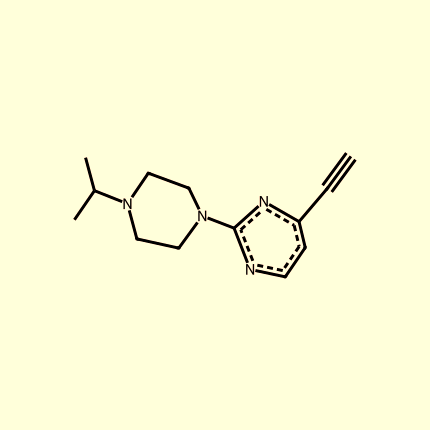 C#Cc1ccnc(N2CCN(C(C)C)CC2)n1